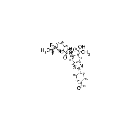 CC(C)(O)c1cc2nc([C@H]3CC[C@H](C=O)CC3)sc2cc1NC(=O)c1cccc(C(C)(F)F)n1